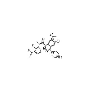 C[C@@H](Nc1nnc(N2CCNCC2)c2cc(=O)n(C3(C)CC3)cc12)c1cccc(C(F)F)c1F